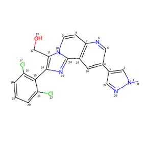 Cn1cc(-c2cnc3ccn4c(CO)c(-c5c(Cl)cccc5Cl)nc4c3c2)cn1